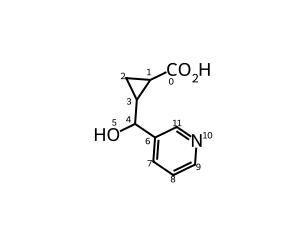 O=C(O)C1CC1C(O)c1cccnc1